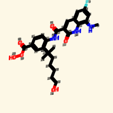 CNc1cc(F)cc2cc(C(=O)Nc3ccc(C(=O)OO)cc3C(C)(C)CCCCCO)c(=O)[nH]c12